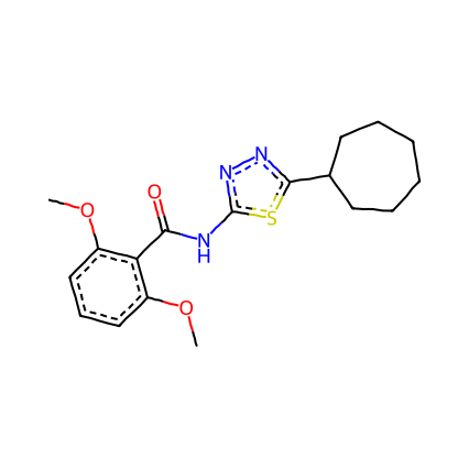 COc1cccc(OC)c1C(=O)Nc1nnc(C2CCCCCC2)s1